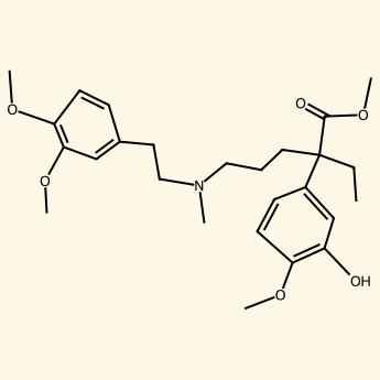 CCC(CCCN(C)CCc1ccc(OC)c(OC)c1)(C(=O)OC)c1ccc(OC)c(O)c1